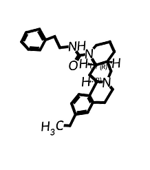 CCc1ccc2c(c1)CCN1C[C@H]3CCCN(C(=O)NCCc4ccccc4)[C@H]3C[C@H]21